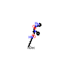 CCCCCCCCCCCCCCCCCCNC(=O)OCC1CC(COC(=O)NCc2ccccn2)N1Cc1ccccc1